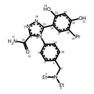 CCN(CC)Cc1ccc(-n2c(C(N)=O)nnc2-c2cc(C(C)C)c(O)cc2O)cc1